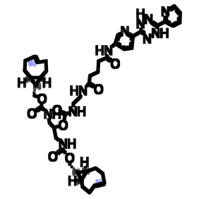 O=C(CCCC(=O)Nc1ccc(C2=NNC(c3ccccn3)=NN2)nc1)NCCNC(=O)OC(CNC(=O)OC[C@H]1[C@@H]2CC/C=C/CC[C@@H]21)CNC(=O)OC[C@H]1[C@@H]2CC/C=C/CC[C@@H]21